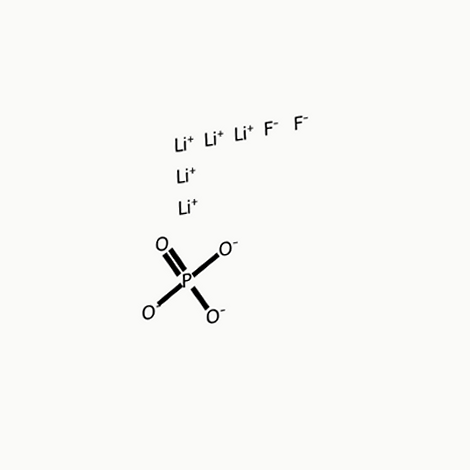 O=P([O-])([O-])[O-].[F-].[F-].[Li+].[Li+].[Li+].[Li+].[Li+]